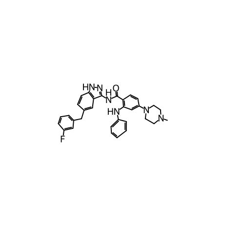 CN1CCN(c2ccc(C(=O)Nc3n[nH]c4ccc(Cc5cccc(F)c5)cc34)c(Nc3ccccc3)c2)CC1